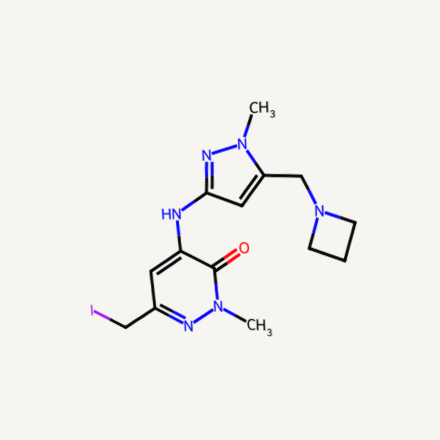 Cn1nc(Nc2cc(CI)nn(C)c2=O)cc1CN1CCC1